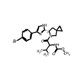 COC(=O)NC(C(=O)N1CC2(CC2)C[C@H]1c1nc(-c2ccc(Br)cc2)c[nH]1)C(C)C